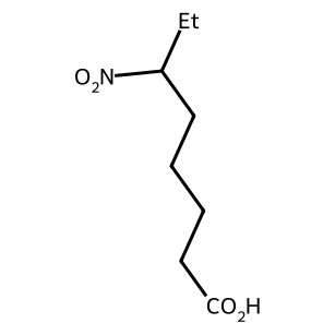 CCC(CCCCC(=O)O)[N+](=O)[O-]